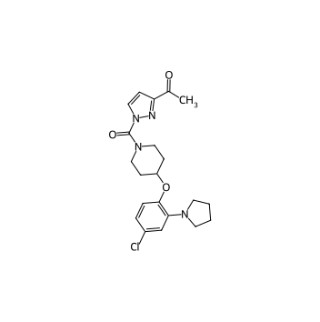 CC(=O)c1ccn(C(=O)N2CCC(Oc3ccc(Cl)cc3N3CCCC3)CC2)n1